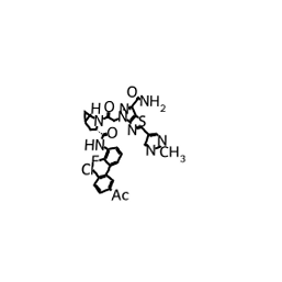 CC(=O)c1ccc(Cl)c(-c2cccc(NC(=O)[C@@H]3CC4C[C@H]4N3C(=O)Cn3nc(C(N)=O)c4sc(-c5cnc(C)nc5)nc43)c2F)c1